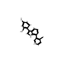 Cc1ccncc1-c1cccc2c(-c3ccc(F)cc3F)csc12